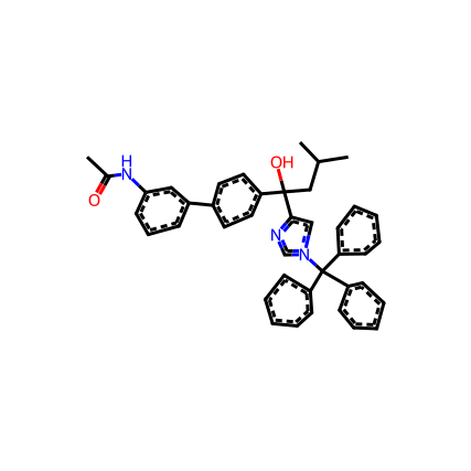 CC(=O)Nc1cccc(-c2ccc(C(O)(CC(C)C)c3cn(C(c4ccccc4)(c4ccccc4)c4ccccc4)cn3)cc2)c1